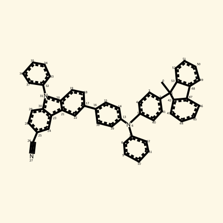 CC1(c2ccc(N(c3ccccc3)c3ccc(-c4ccc5c(c4)c4cc(C#N)ccc4n5-c4ccccc4)cc3)cc2)c2ccccc2-c2ccccc21